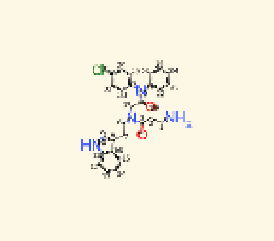 NCCC(=O)N(CCc1c[nH]c2ccccc12)CC(=O)N(c1ccccc1)c1ccc(Cl)cc1